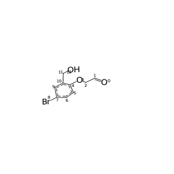 O=CCOc1ccc(Br)cc1CO